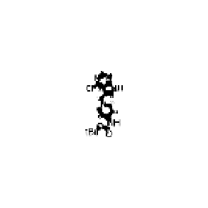 CC(C)(C)OC(=O)NC1CCN(Cc2c[nH]c3ncnc(Cl)c23)CC1